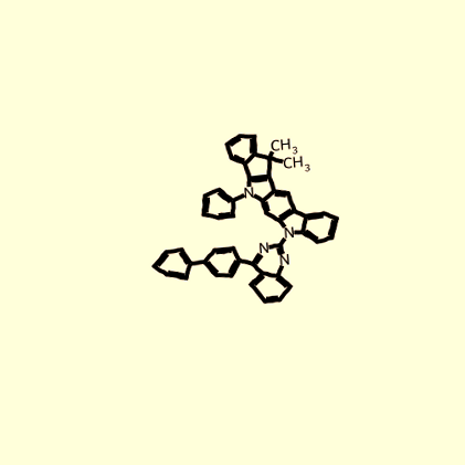 CC1(C)c2ccccc2-c2c1c1cc3c4ccccc4n(-c4nc(-c5ccc(-c6ccccc6)cc5)c5ccccc5n4)c3cc1n2-c1ccccc1